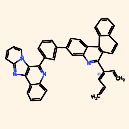 C=C/C=C(\C=C)c1nc2cc(-c3cccc(-c4nc5ccccc5c5nc6ccccn6c45)c3)ccc2c2c1ccc1ccccc12